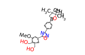 COc1cc(-c2nc(-c3ccc(B4CC(C)(C)C(C)(C)O4)cc3)no2)cc(CO)c1CO